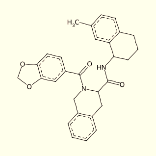 Cc1ccc2c(c1)C(NC(=O)C1Cc3ccccc3CN1C(=O)c1ccc3c(c1)OCO3)CCC2